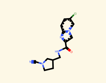 N#CN1CCC(CNC(=O)c2cn3cc(Cl)ccc3n2)C1